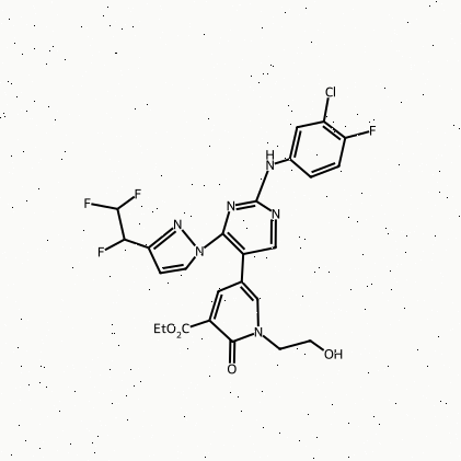 CCOC(=O)c1cc(-c2cnc(Nc3ccc(F)c(Cl)c3)nc2-n2ccc(C(F)C(F)F)n2)cn(CCO)c1=O